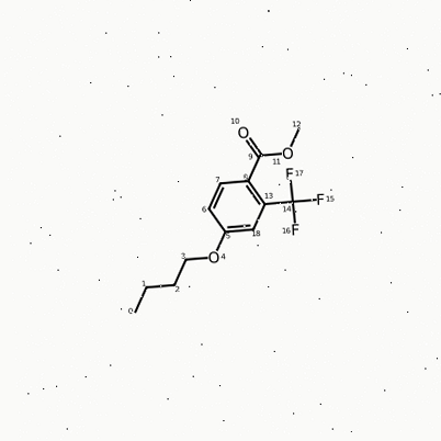 CCCCOc1ccc(C(=O)OC)c(C(F)(F)F)c1